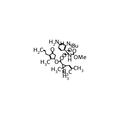 C=CCC1=C(C)C(OC(=O)C2C(C=C(C)C)C2(C)C)CC1=O.CCC(C)N.COC(=O)NS(=O)(=O)c1ccc(N)cc1